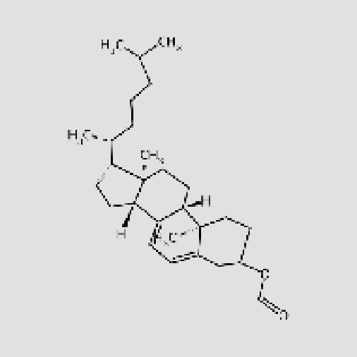 CC(C)CCC[C@@H](C)[C@H]1CC[C@H]2C3=CC=C4CC(OC=O)CC[C@]4(C)[C@H]3CC[C@]12C